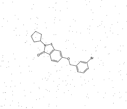 O=c1c2ccc(OCc3cccc(Br)c3)cc2sn1C1CCCC1